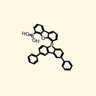 OB(O)c1cccc2c1oc1c(-n3c4ccc(-c5ccccc5)cc4c4cc(-c5ccccc5)ccc43)cccc12